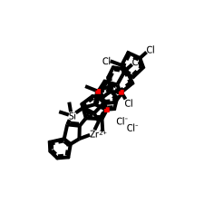 Cc1cc(-c2ccc(Cl)cc2Cl)ccc1C1=C2c3ccccc3[CH]1[Zr+2][CH]1C(c3ccc(-c4ccc(Cl)cc4Cl)cc3C)=C(c3ccccc31)[Si]2(C)C.[Cl-].[Cl-]